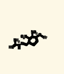 CC(C)Oc1ccc(C=NNC(=N)N)c([N+](=O)[O-])c1[N+](=O)[O-]